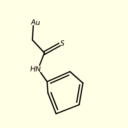 S=C([CH2][Au])Nc1ccccc1